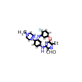 CCc1nc(C=O)c(Nc2ccc(N3CCN(C)CC3)cc2)nc1Oc1ccc(F)c(N)c1